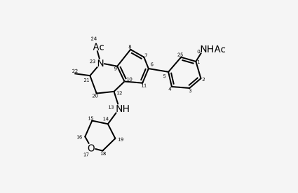 CC(=O)Nc1cccc(-c2ccc3c(c2)C(NC2CCOCC2)CC(C)N3C(C)=O)c1